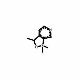 CC1O[Si](C)(C)c2cnccc21